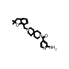 CC1(C)Cc2cccc(CN3CCC4(CC3)CCN(C(=O)c3ccnc(N)c3)CC4)c2O1